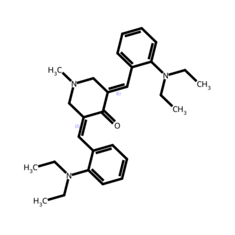 CCN(CC)c1ccccc1/C=C1/CN(C)C/C(=C\c2ccccc2N(CC)CC)C1=O